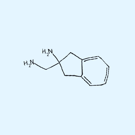 NCC1(N)Cc2ccccc2C1